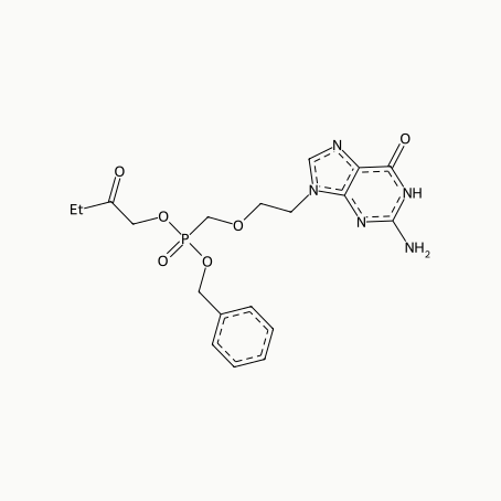 CCC(=O)COP(=O)(COCCn1cnc2c(=O)[nH]c(N)nc21)OCc1ccccc1